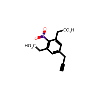 C#CCc1cc(CC(=O)O)c(I(=O)=O)c(CC(=O)O)c1